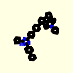 c1ccc(-c2ccc(C3=NC(c4ccc(-c5ccc(-c6ccc7c(c6)C6(c8ccccc8-7)c7ccccc7N(c7ccccc7)c7ccccc76)cc5)cc4)=NC(c4ccccc4)N3)cc2)cc1